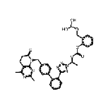 Cc1nc(C)c2c(n1)N(Cc1ccc(-c3ccccc3-c3nnn(C(C)OC(=O)Oc4ccccc4CON(O)O)n3)cc1)C(=O)CC2